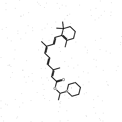 CC1=C(/C=C/C(C)=C\C=C\C(C)=C\C(=O)OC(C)N2CCCCC2)C(C)(C)CCC1